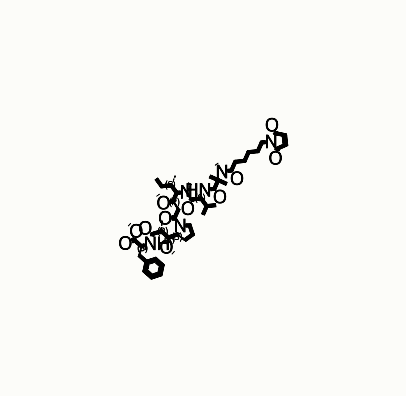 CC[C@H](C)C([C@@H](CC(=O)N1CCC[C@H]1[C@H](OC)[C@@H](C)C(=O)N[C@@H](Cc1ccccc1)C(=O)OC)OC)N(C)C(=O)[C@@H](NC(=O)C(C)(C)N(C)C(=O)CCCCCN1C(=O)C=CC1=O)C(C)C